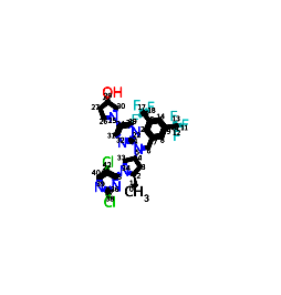 CC[C@@H]1C[C@H](N(Cc2cc(C(F)(F)F)cc(C(F)(F)F)c2)c2ncc(N3CC[C@@H](O)C3)cn2)CN1c1nc(Cl)ncc1Cl